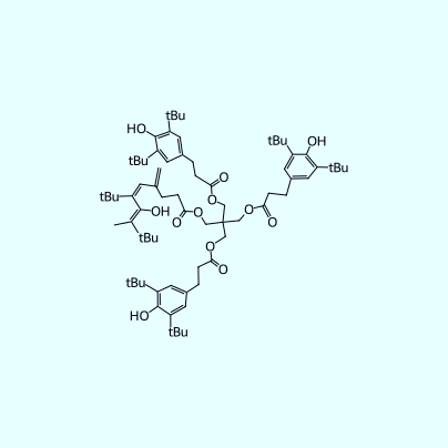 C=C(/C=C(\C(O)=C(/C)C(C)(C)C)C(C)(C)C)CCC(=O)OCC(COC(=O)CCc1cc(C(C)(C)C)c(O)c(C(C)(C)C)c1)(COC(=O)CCc1cc(C(C)(C)C)c(O)c(C(C)(C)C)c1)COC(=O)CCc1cc(C(C)(C)C)c(O)c(C(C)(C)C)c1